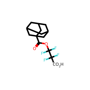 O=C(OC(F)(F)C(F)(F)C(=O)O)C12CC3CC(CC(C3)C1)C2